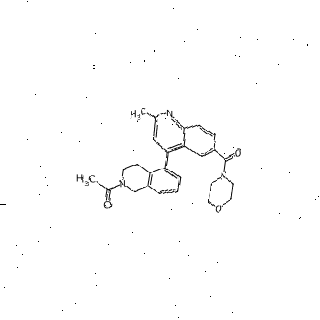 CC(=O)N1CCc2c(cccc2-c2cc(C)nc3ccc(C(=O)N4CCOCC4)cc23)C1